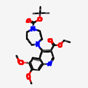 CCOC(=O)c1cnc2cc(OC)c(OC)cc2c1N1CCCN(C(=O)OC(C)(C)C)CC1